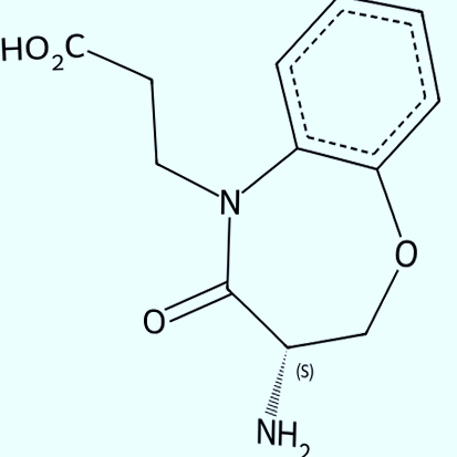 N[C@H]1COc2ccccc2N(CCC(=O)O)C1=O